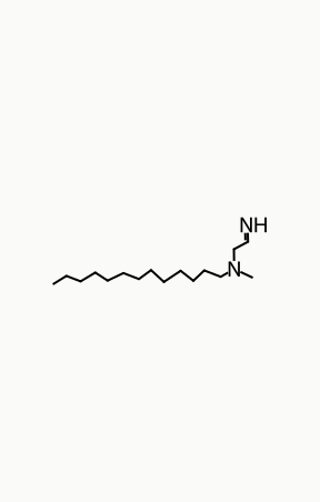 CCCCCCCCCCCCCN(C)CC=N